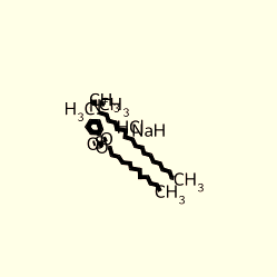 CCCCCCCCCCCCCCCCCC[N+](C)(C)C.CCCCCCCCCCCCOS(=O)(=O)c1ccccc1.Cl.[NaH]